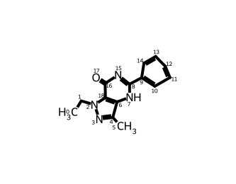 CCn1nc(C)c2[nH]c(-c3ccccc3)nc(=O)c21